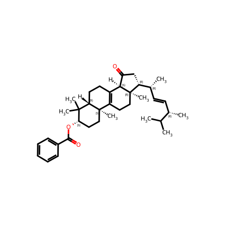 CC(C)[C@@H](C)C=C[C@@H](C)[C@H]1CC(=O)[C@@H]2C3=C(CC[C@@]21C)[C@@]1(C)CC[C@H](OC(=O)c2ccccc2)C(C)(C)[C@@H]1CC3